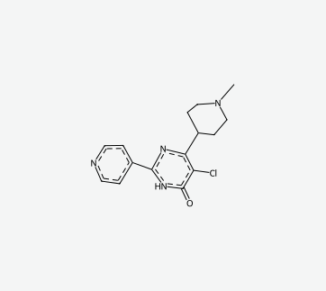 CN1CCC(c2nc(-c3ccncc3)[nH]c(=O)c2Cl)CC1